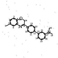 Cc1ccc2c(c1)N=C(c1ccc(-c3cccc(N(C)C)c3)cc1)CO2